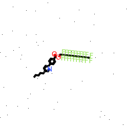 CCCCCc1ccc(-c2ccc(C(=O)OCC(F)(F)C(F)(F)C(F)(F)C(F)(F)C(F)(F)C(F)(F)C(F)(F)C(F)(F)C(F)(F)C(F)F)cc2)nc1